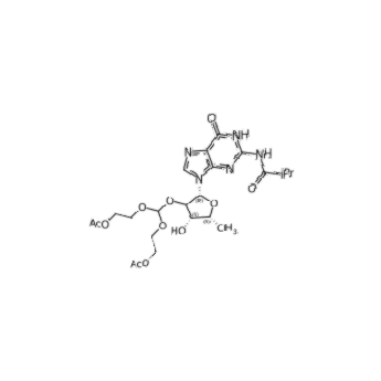 CC(=O)OCCOC(OCCOC(C)=O)OC1[C@@H](O)[C@@H](C)O[C@H]1n1cnc2c(=O)[nH]c(NC(=O)C(C)C)nc21